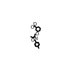 COC(=O)C1CCCC(OCc2nc(-c3ccc(C)cc3)oc2C)C1